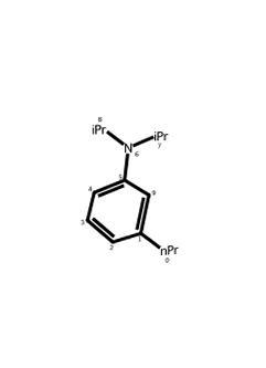 C[CH]Cc1cccc(N(C(C)C)C(C)C)c1